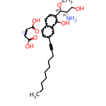 CCCCCCCCC#Cc1ccc2ccc([C@@H](OC)[C@@H](N)CO)c(O)c2c1.O=C(O)/C=C\C(=O)O